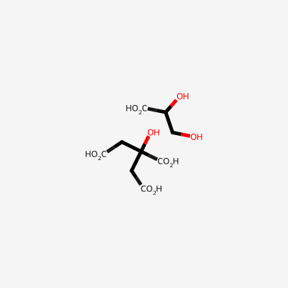 O=C(O)C(O)CO.O=C(O)CC(O)(CC(=O)O)C(=O)O